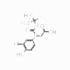 CC(C)(C)OC(=O)N(CC(=O)O)c1ccc(O)c(Cl)c1